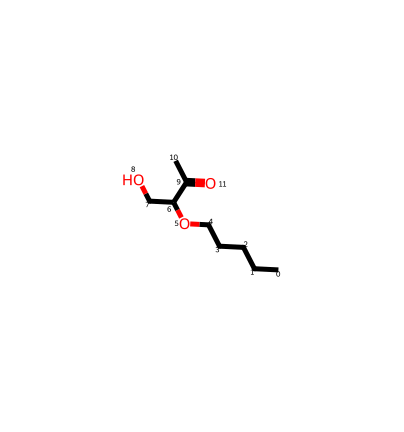 CCCCCOC(CO)C(C)=O